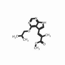 COC(=O)/C(C)=C/c1c[nH]c2ncnc(OCC(C)C)c12